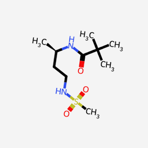 C[C@H](CCNS(C)(=O)=O)NC(=O)C(C)(C)C